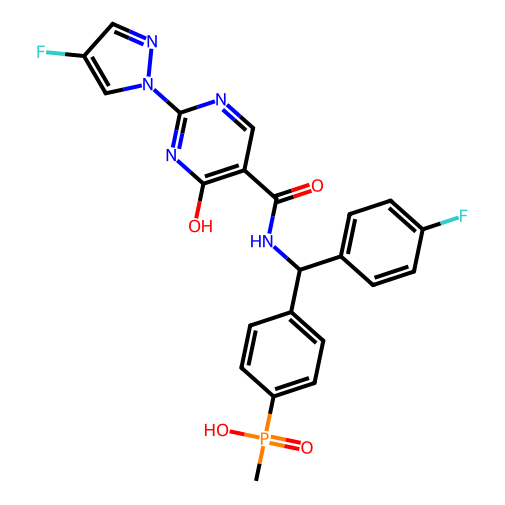 CP(=O)(O)c1ccc(C(NC(=O)c2cnc(-n3cc(F)cn3)nc2O)c2ccc(F)cc2)cc1